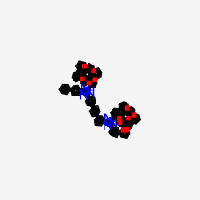 c1ccc(-c2ccc(-c3nc(-c4ccc(-c5ccc(-c6cccc(-c7nc(-c8cccc(-c9ccccc9)c8)nc(-c8ccc9c(c8)C8(c%10ccccc%10-9)c9ccccc9C9(c%10ccccc%10-c%10ccccc%109)c9ccccc98)n7)c6)cc5)cc4)nc(-c4ccc5c(c4)C4(c6ccccc6-5)c5ccccc5C5(c6ccccc6-c6ccccc65)c5ccccc54)n3)cc2)cc1